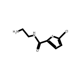 NCCNC(=O)c1ccc(Cl)s1